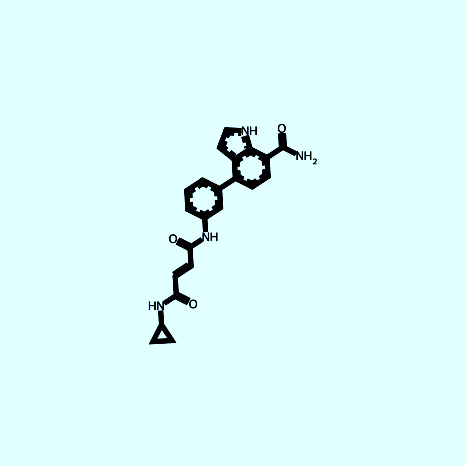 NC(=O)c1ccc(-c2cccc(NC(=O)/C=C/C(=O)NC3CC3)c2)c2cc[nH]c12